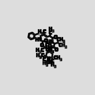 C/C(=C\[C@@H](C)C(=O)N[C@H](C(=O)NC1CC(C)(C)N(O)C(C)(C)C1)C(C)C)[C@@H](Cc1ccccc1)NC(=O)OC(C)(C)C